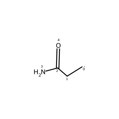 [CH2]CC(N)=O